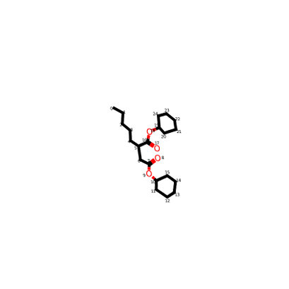 CCCCCC(CC(=O)OC1CCCCC1)C(=O)OC1CCCCC1